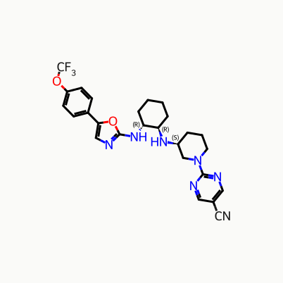 N#Cc1cnc(N2CCC[C@H](N[C@@H]3CCCC[C@H]3Nc3ncc(-c4ccc(OC(F)(F)F)cc4)o3)C2)nc1